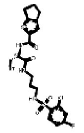 CC(C)C[C@H](NC(=O)c1cc2c(s1)CCC2)C(=O)NCCCNS(=O)(=O)c1ccc(F)cc1Cl